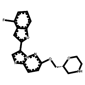 Fc1cccc2oc(-c3cnc4ccc(OC[C@H]5CNCCO5)nn34)cc12